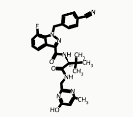 Cc1cc(O)nc(CNC(=O)[C@@H](NC(=O)c2nn(Cc3ccc(C#N)cc3)c3c(F)cccc23)C(C)(C)C)n1